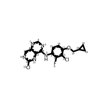 Fc1c(Nc2ncnc3cnc(Cl)nc23)ccc(OCC2CC2)c1Cl